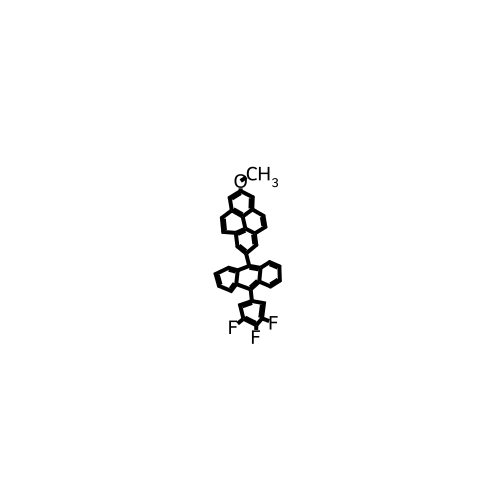 COc1cc2ccc3cc(-c4c5ccccc5c(-c5cc(F)c(F)c(F)c5)c5ccccc45)cc4ccc(c1)c2c34